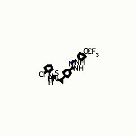 N=C(/N=C\Nc1ccc(OC(F)(F)F)cc1)c1ccc(C2CC2NC(=S)Nc2ccccc2Cl)cc1